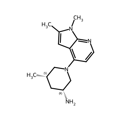 Cc1cc2c(N3C[C@@H](C)C[C@@H](N)C3)ccnc2n1C